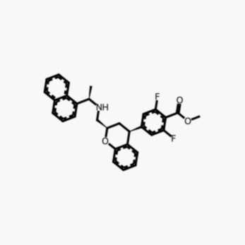 COC(=O)c1c(F)cc([C@@H]2C[C@H](CN[C@H](C)c3cccc4ccccc34)Oc3ccccc32)cc1F